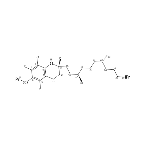 Cc1c(C)c2c(c(C)c1OC(C)C)CC[C@@](C)(CC[C@H](C)CCC[C@H](C)CCCC(C)C)O2